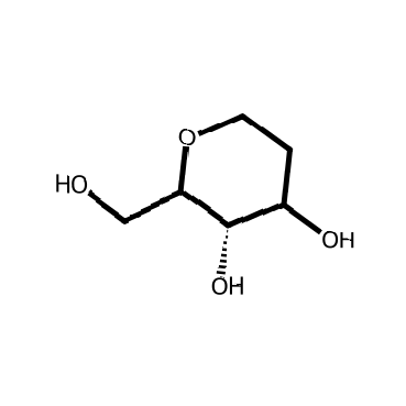 OCC1OCCC(O)[C@@H]1O